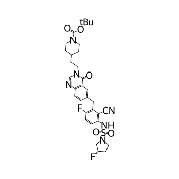 CC(C)(C)OC(=O)N1CCC(CCn2cnc3ccc(Cc4c(F)ccc(NS(=O)(=O)N5CC[C@@H](F)C5)c4C#N)cc3c2=O)CC1